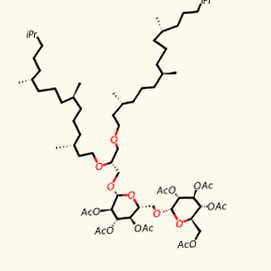 CC(=O)OC[C@H]1O[C@H](OC[C@H]2O[C@@H](OC[C@@H](COCC[C@H](C)CCC[C@H](C)CCC[C@H](C)CCCC(C)C)OCC[C@H](C)CCC[C@H](C)CCC[C@H](C)CCCC(C)C)[C@H](OC(C)=O)[C@@H](OC(C)=O)[C@@H]2OC(C)=O)[C@H](OC(C)=O)[C@@H](OC(C)=O)[C@@H]1OC(C)=O